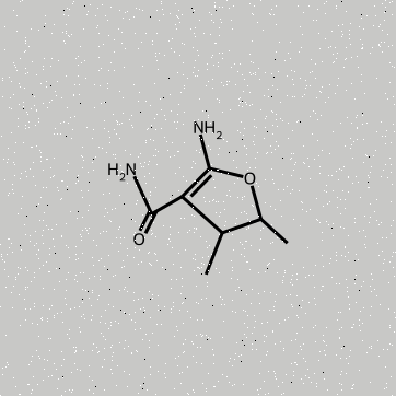 CC1OC(N)=C(C(N)=O)C1C